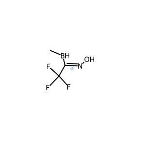 CB/C(=N\O)C(F)(F)F